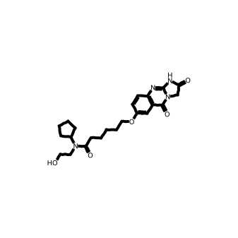 O=C1Cn2c(nc3ccc(OCCCCCC(=O)N(CCO)C4CCCC4)cc3c2=O)N1